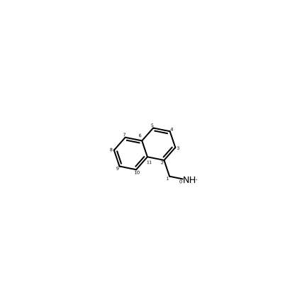 [NH]Cc1cccc2ccccc12